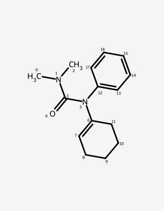 CN(C)C(=O)N(C1=CCCCC1)c1ccccc1